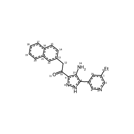 CCc1cncc(-c2[nH]nc(C(=O)Cc3ccc4ccccc4c3)c2N)c1